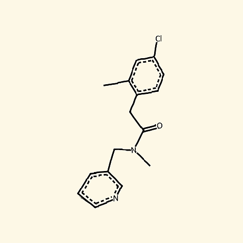 Cc1cc(Cl)ccc1CC(=O)N(C)Cc1cccnc1